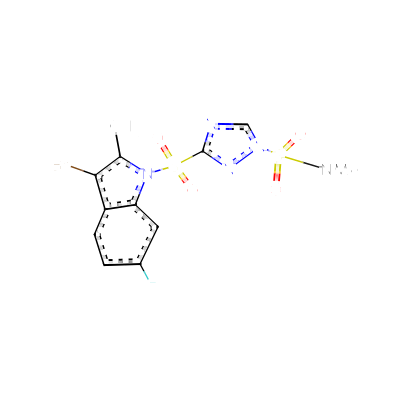 CNS(=O)(=O)n1cnc(S(=O)(=O)n2c(C)c(Br)c3ccc(F)cc32)n1